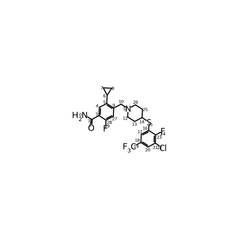 NC(=O)c1cc(C2CC2)c(CN2CCC(Sc3cc(C(F)(F)F)cc(Cl)c3F)CC2)cc1F